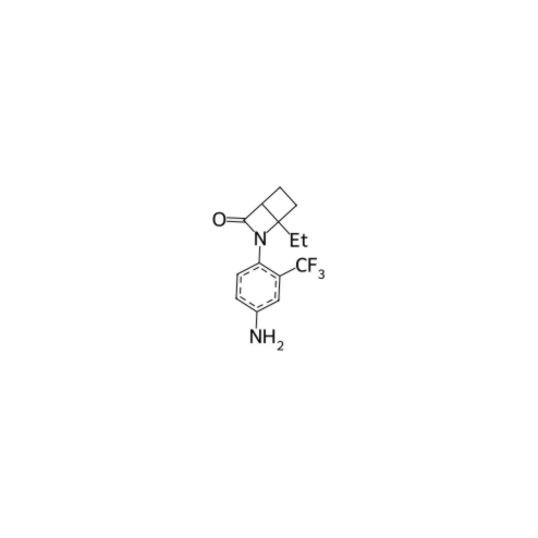 CCC12CCC1C(=O)N2c1ccc(N)cc1C(F)(F)F